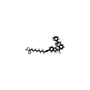 COC(=O)CCCCCCCCC#Cc1ccc2c(c1)CC(N(C)c1cccc3nc(-c4cccnc4)ncc13)C2